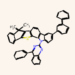 CC1(C)c2ccccc2-c2sc3c(ccc4c5cc(-c6cccc(-c7ccccc7)c6)ccc5n(-c5nc(-c6ccccc6)c6ccccc6n5)c43)c21